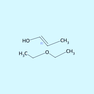 C/C=C/O.CCOCC